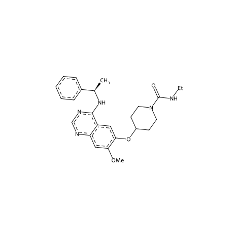 CCNC(=O)N1CCC(Oc2cc3c(N[C@H](C)c4ccccc4)ncnc3cc2OC)CC1